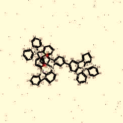 c1ccc([Si](c2ccccc2)(c2ccccc2)c2ccc(-n3c4ccccc4c4cccc(-n5c6ccccc6c6ccc(-c7ccc8c(c7)-c7ccccc7[Si]8(c7ccccc7)c7ccccc7)cc65)c43)cc2)cc1